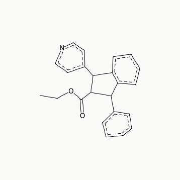 CCOC(=O)C1C(c2ccccc2)c2ccccc2C1c1ccncc1